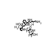 Cc1cc[nH]c1C(=O)CC(C(=O)O)[C@@]1(C(=O)O)CCCN1C(=O)[C@@H](N)CCCCN.O=C(O)C(F)(F)F.O=C(O)C(F)(F)F